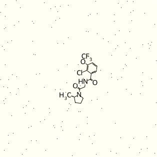 C[C@@H]1CCCN1C(=O)CNC(=O)c1cccc(OC(F)(F)F)c1Cl